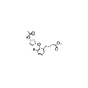 COC(=O)CCCc1cccc(I)c1O[C@@H]1C=C[C@H](OC(C)=O)C1